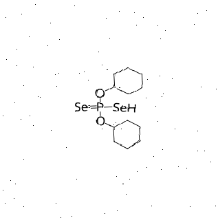 [Se]=P([SeH])(OC1CCCCC1)OC1CCCCC1